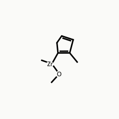 C[O][Zr]([CH3])[C]1=C(C)C=CC1